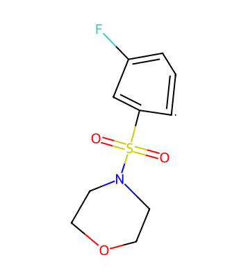 O=S(=O)(c1[c]ccc(F)c1)N1CCOCC1